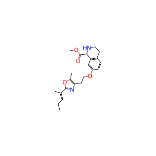 CC/C=C(\C)c1nc(CCOc2ccc3c(c2)C(C(=O)OC)NCC3)c(C)o1